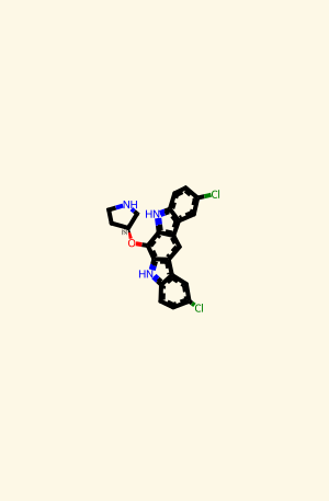 Clc1ccc2[nH]c3c(O[C@H]4CCNC4)c4[nH]c5ccc(Cl)cc5c4cc3c2c1